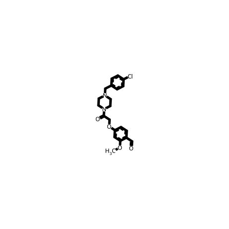 COc1cc(OCC(=O)N2CCN(Cc3ccc(Cl)cc3)CC2)ccc1C=O